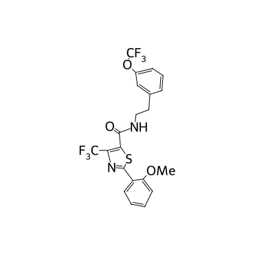 COc1ccccc1-c1nc(C(F)(F)F)c(C(=O)NCCc2cccc(OC(F)(F)F)c2)s1